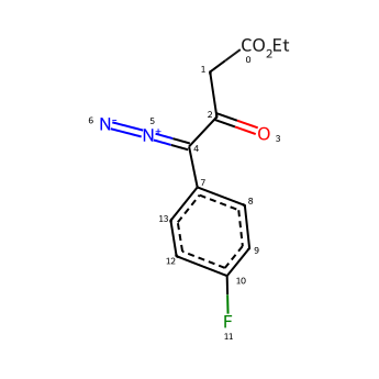 CCOC(=O)CC(=O)C(=[N+]=[N-])c1ccc(F)cc1